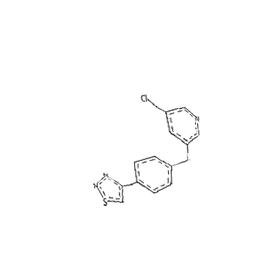 Clc1cncc([CH]c2ccc(-c3csnn3)cc2)c1